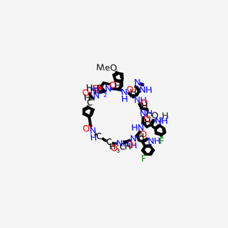 COc1ccc(C[C@@H]2NC(=O)[C@H](Cc3cnc[nH]3)NC(=O)[C@H](CC(=O)O)NC(=O)[C@H](Cc3c[nH]c4ccc(F)cc34)NC(=O)[C@H](Cc3c[nH]c4ccc(F)cc34)NC(=O)[C@@H](C)NC(=O)CCCCNC(=O)c3ccc(cc3)C[C@@H](C(N)=O)NC(=O)[C@]3(C)CCCN3C2=O)cc1